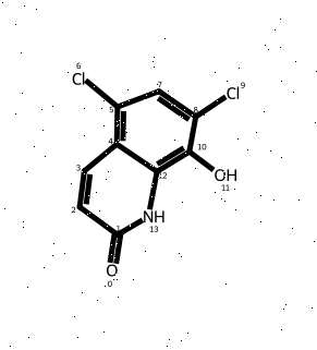 O=c1ccc2c(Cl)cc(Cl)c(O)c2[nH]1